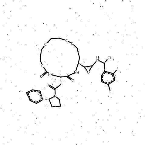 C[C@H](NC1OC1[C@@H]1CCCCCCCCCCC(=O)N[C@@H](CC(=O)N2CCC[C@@H]2c2ccccc2)C(=O)N1)c1ccc(F)cc1F